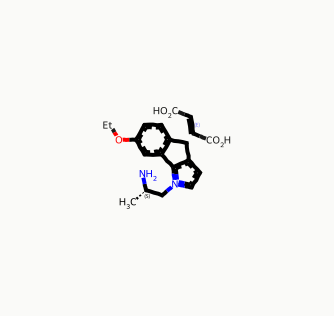 CCOc1ccc2c(c1)-c1c(ccn1C[C@H](C)N)C2.O=C(O)/C=C/C(=O)O